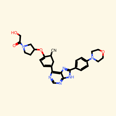 N#CC1CC(c2ncnc3[nH]c(-c4ccc(N5CCOCC5)cc4)nc23)=CC=C1OC1CCN(C(=O)CO)C1